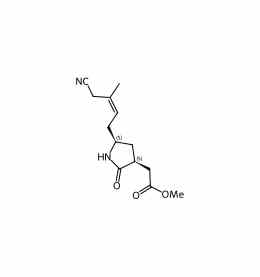 COC(=O)C[C@@H]1C[C@H](CC=C(C)CC#N)NC1=O